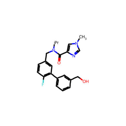 CC(C)N(Cc1ccc(F)c(-c2cccc(CO)c2)c1)C(=O)c1cn(C)cn1